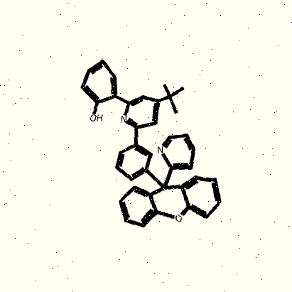 CC(C)(C)c1cc(-c2cccc(C3(c4ccccn4)c4ccccc4Oc4ccccc43)c2)nc(-c2ccccc2O)c1